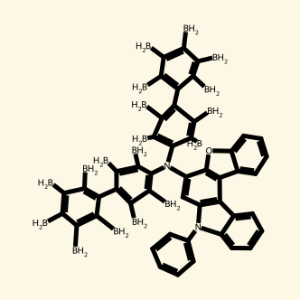 Bc1c(B)c(B)c(-c2c(B)c(B)c(N(c3c(B)c(B)c(-c4c(B)c(B)c(B)c(B)c4B)c(B)c3B)c3cc4c(c5ccccc5n4-c4ccccc4)c4c3oc3ccccc34)c(B)c2B)c(B)c1B